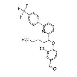 CCCCC(Oc1ccc(C=O)cc1Cl)c1cccc(-c2ccc(C(F)(F)F)cc2)n1